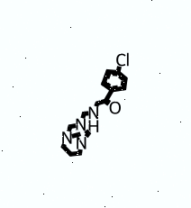 O=C(CNCN1CN2CCCN(C2)C1)c1ccc(Cl)cc1